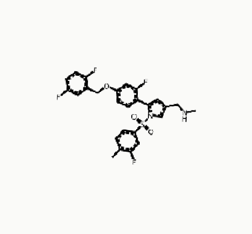 CNCc1cc(-c2ccc(OCc3cc(F)ccc3F)cc2F)n(S(=O)(=O)c2ccc(C)c(F)c2)c1